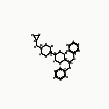 c1ccc(CN(Cc2ccccc2)C2CCC(N3CCN(CC4CC4)CC3)CC2)cc1